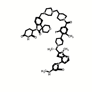 CNc1ccn(-c2ccnc3c2cc([C@H](C)N2CC=C(c4c(C)cc(C(=O)N5CCC(CN6CCN(Cc7ccc8c(c7)C7(CCOCC7)C(=O)N8C7CCC(=O)NC7=O)CC6)CC5)cc4F)CC2)n3C)c(=O)c1